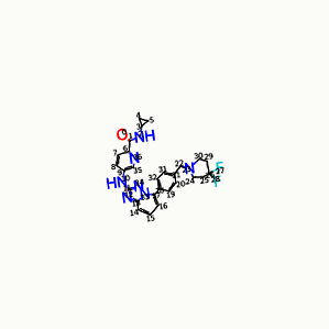 O=C(NC1CC1)c1ccc(Nc2nc3cccc(-c4ccc(CN5CCC(F)(F)CC5)cc4)n3n2)cn1